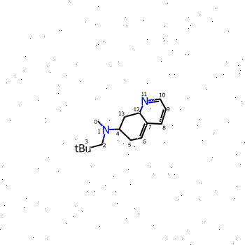 CN(CC(C)(C)C)C1CC=C2C=CC=NC2C1